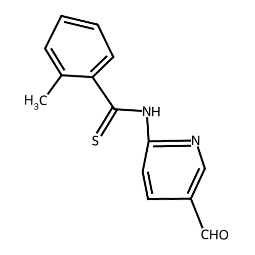 Cc1ccccc1C(=S)Nc1ccc(C=O)cn1